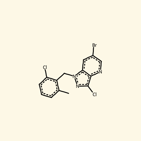 Cc1cccc(Cl)c1Cn1nc(Cl)c2ncc(Br)cc21